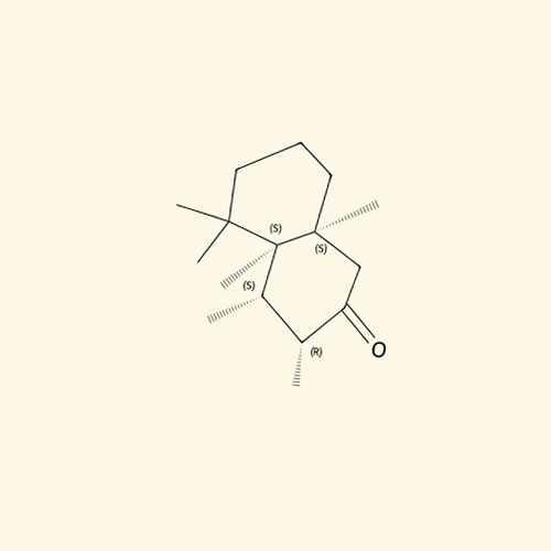 C[C@H]1C(=O)C[C@]2(C)CCCC(C)(C)[C@]2(C)[C@H]1C